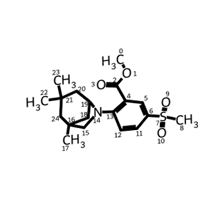 COC(=O)c1cc(S(C)(=O)=O)ccc1N1CC2(C)CC1CC(C)(C)C2